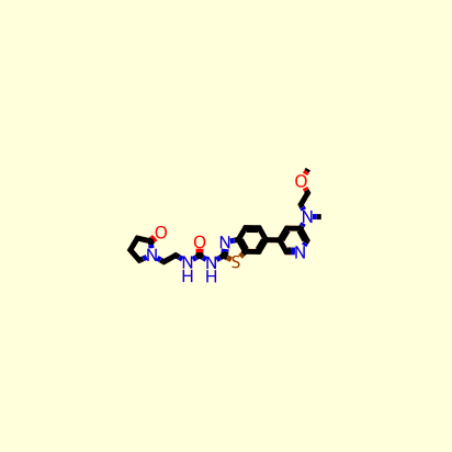 COCCN(C)c1cncc(-c2ccc3nc(NC(=O)NCCN4CCCC4=O)sc3c2)c1